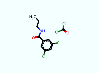 CCCNC(=O)c1cc(Cl)cc(Cl)c1.O=C(Cl)Cl